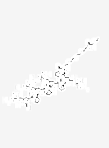 CCOCC(=O)NCCOCCOCCOCCNC(=O)[C@H]1CCCN1C(=O)C(CCCNC(=N)N)NC(=O)C1CCCN1C(=O)C(CCCNC(=N)N)NC(=O)[C@H]1CCCN1C(=O)C(CCCNC(=N)N)NC(=O)C1CCCN1C(=O)C(CCCNC(=N)N)NC(C)=O